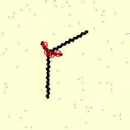 CCCCCCCCCCCCCCCCCCCC[Si](CCCCCCCCCCCCCCCCCCCC)(OCCOCC)OCCOCC